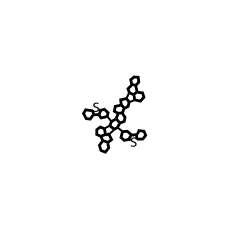 c1ccc2c(c1)cc1c3c(cccc32)-c2cc3c(ccc4c3ccc3c(-c5ccc6sc7ccccc7c6c5)c5c(c(-c6ccc7sc8ccccc8c7c6)c34)-c3cccc4c3c-5cc3ccccc34)cc2-1